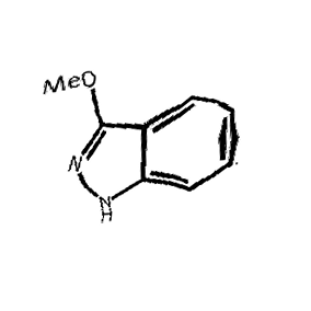 COc1n[nH]c2c[c]ccc12